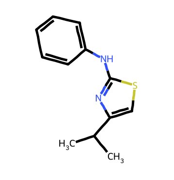 CC(C)c1csc(Nc2ccccc2)n1